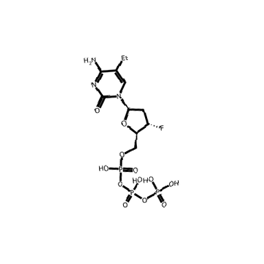 CCc1cn([C@H]2C[C@H](F)[C@@H](COP(=O)(O)OP(=O)(O)OP(=O)(O)O)O2)c(=O)nc1N